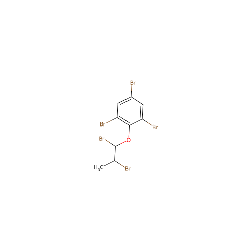 CC(Br)C(Br)Oc1c(Br)cc(Br)cc1Br